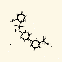 CC(C)(Nc1ncc(-c2ccnc(C(N)=O)c2)cn1)c1ncccc1F